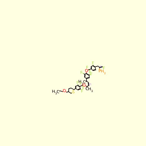 C=C(/C=C\C(=C)c1cc(F)c(OC(F)(F)c2ccc(C/C(P)=C/F)c(F)c2)c(F)c1)OC(F)(F)c1c(F)cc(C2CCC(COCCC)CS2)cc1F